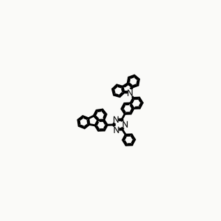 c1ccc(-c2nc(-c3ccc4c(-n5c6ccccc6c6ccccc65)cccc4c3)nc(-c3ccc4c5c(cccc35)-c3ccccc3-4)n2)cc1